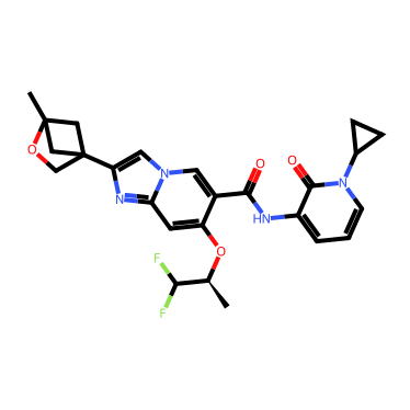 C[C@H](Oc1cc2nc(C34COC(C)(C3)C4)cn2cc1C(=O)Nc1cccn(C2CC2)c1=O)C(F)F